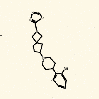 Oc1ccccc1C1CCN(C2CCC3(C2)CN(c2nnco2)C3)CC1